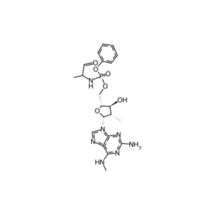 CNc1nc(N)nc2c1ncn2[C@@H]1O[C@H](COP(=O)(NC(C)C=O)Oc2ccccc2)[C@@H](O)[C@@H]1C